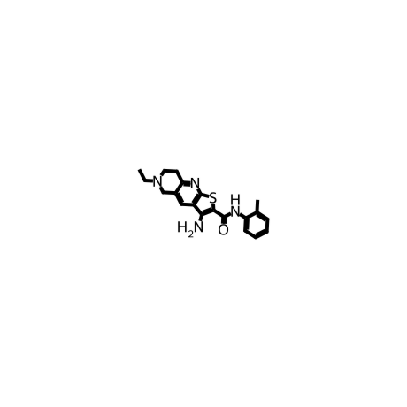 CCN1CCc2nc3sc(C(=O)Nc4ccccc4C)c(N)c3cc2C1